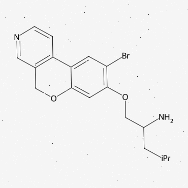 CC(C)CC(N)COc1cc2c(cc1Br)-c1ccncc1CO2